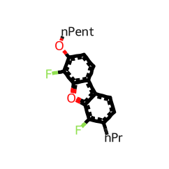 CCCCCOc1ccc2c(oc3c(F)c(CCC)ccc32)c1F